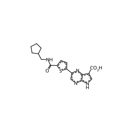 O=C(NCC1CCCC1)c1ccc(-c2cnc3[nH]cc(C(=O)O)c3n2)s1